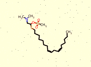 CCCCC/C=C\C/C=C\CCCCCCCSC(CN(C)C)OS(C)(=O)=O